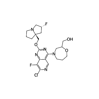 OCC1CN(c2nc(OC[C@@]34CCCN3C[C@H](F)C4)nc3c(F)c(Cl)ncc23)CCCO1